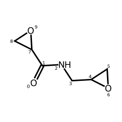 O=C(NCC1CO1)C1CO1